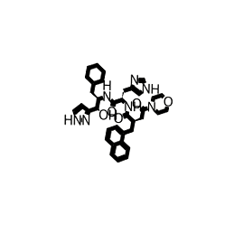 O=C(N[C@@H](Cc1c[nH]cn1)C(=O)N[C@H](CC1CCCCC1)[C@H](O)c1cc[nH]n1)[C@@H](CC(=O)N1CCOCC1)Cc1cccc2ccccc12